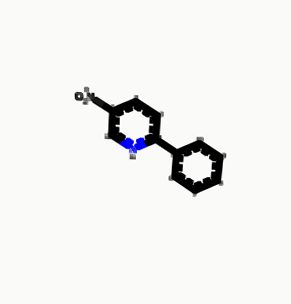 O=[N+]([O-])c1ccc(-c2ccccc2)nc1